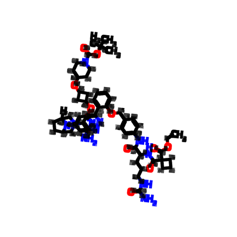 CCOC(=O)C1(C(=O)N[C@@H](CCCNC(N)=O)C(=O)Nc2ccc(COc3ccccc3-c3cc(N4CC5CC[C@H](C4)N5c4ccnc(OC5CC(OC6CCN(C(=O)OC(C)(C)C)CC6)C5)c4)c(N)nn3)cc2)CCC1